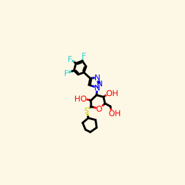 OCC1OC(SC2CCCCC2)C(O)C(n2cc(-c3cc(F)c(F)c(F)c3)nn2)C1O